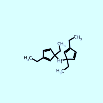 CCC1=C[C](CC)([Hf][C]2(CC)C=CC(CC)=C2)C=C1